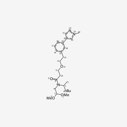 CCCCC(C)N(CC(OC)OC)C(=O)CCOCCc1cccc(-c2cnn(C)c2)c1